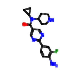 Nc1ccc(-c2ncc(C(=O)N(C3CCNCC3)C3CC3)cn2)cc1F